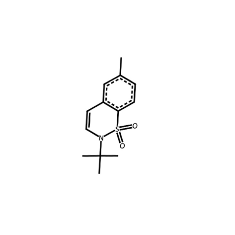 Cc1ccc2c(c1)C=CN(C(C)(C)C)S2(=O)=O